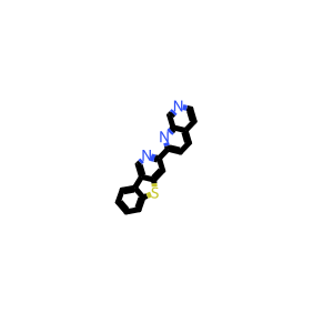 c1ccc2c(c1)sc1cc(-c3ccc4ccncc4n3)ncc12